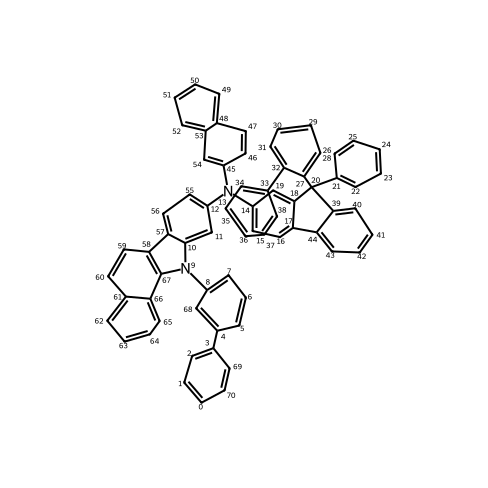 c1ccc(-c2cccc(-n3c4cc(N(c5ccc6c(c5)C(c5ccccc5)(c5ccccc5-c5ccccc5)c5ccccc5-6)c5ccc6ccccc6c5)ccc4c4ccc5ccccc5c43)c2)cc1